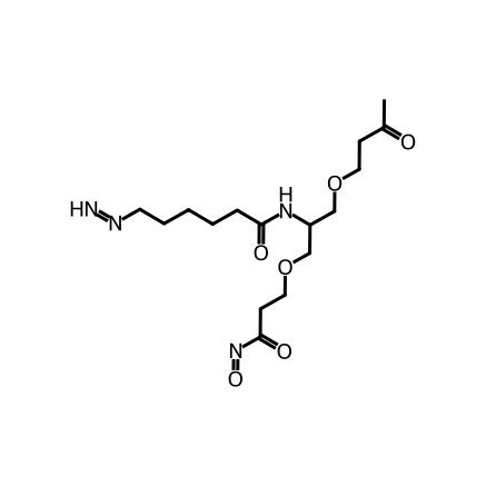 CC(=O)CCOCC(COCCC(=O)N=O)NC(=O)CCCCCN=N